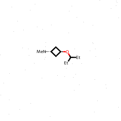 CCC(CC)O[C@H]1C[C@H](NC)C1